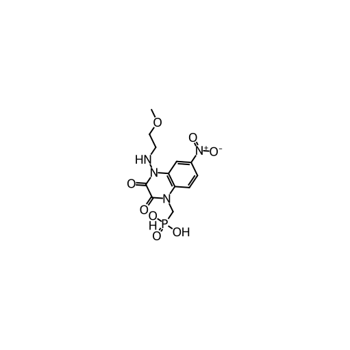 COCCNn1c(=O)c(=O)n(CP(=O)(O)O)c2ccc([N+](=O)[O-])cc21